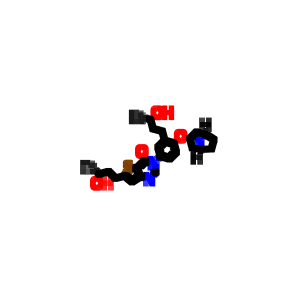 CCC(O)CCc1cc2ncn(-c3ccc(O[C@H]4C[C@H]5CC[C@@H](C4)N5C)c(CCC(O)CC)c3)c(=O)c2s1